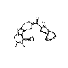 CC1CCn2nc3c(c2C(=O)N1C)CN(C(=O)c1cc2ccccc2[nH]1)CC3